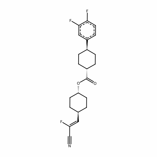 N#CC(F)=C[C@H]1CC[C@H](OC(=O)[C@H]2CC[C@H](c3ccc(F)c(F)c3)CC2)CC1